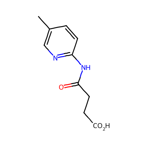 Cc1ccc(NC(=O)CCC(=O)O)nc1